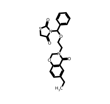 CCc1ccc2c(c1)C(=O)N(CCOC(c1ccccc1)N1C(=O)CSC1=O)CO2